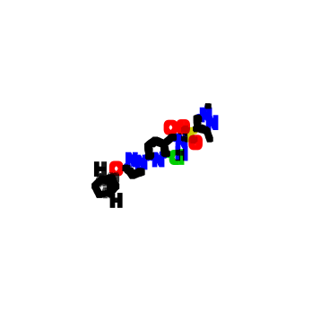 Cc1nn(C)cc1S(=O)(=O)NC(=O)c1ccc(-n2ccc(O[C@H]3C[C@@H]4CC[C@H]3C4)n2)nc1Cl